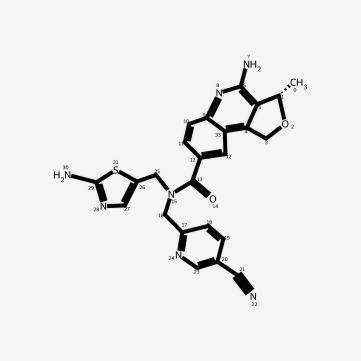 C[C@@H]1OCc2c1c(N)nc1ccc(C(=O)N(Cc3ccc(C#N)cn3)Cc3cnc(N)s3)cc21